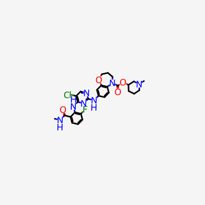 CNC(=O)c1cccc(F)c1Nc1nc(Nc2ccc3c(c2)OCCCN3C(=O)OC2CCCN(C)C2)ncc1Cl